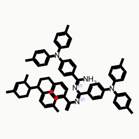 C=C(/N=C(\N=C(/N)c1ccc(N(c2ccc(C)cc2)c2ccc(C)cc2)cc1)c1ccc(N(c2ccc(C)cc2)c2ccc(C)cc2)cc1)c1ccc(CCC(c2ccc(C)cc2)C2CCC(C)=CC2C)cc1